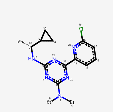 CCN(CC)c1nc(N[C@H](C)C2CC2)nc(-c2cccc(Cl)n2)n1